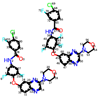 O=C(Nc1cc(F)c(Oc2ccc3ncc(N4CCOCC4)nc3c2)c(F)c1)c1ccc(Cl)c(F)c1.O=C(Nc1cc(F)c(Oc2ccc3ncc(N4CCOCC4)nc3c2)c(F)c1F)c1ccc(Cl)c(F)c1